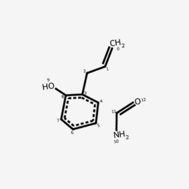 C=CCc1ccccc1O.NC=O